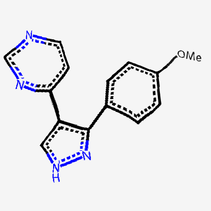 COc1ccc(-c2n[nH]cc2-c2ccncn2)cc1